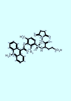 Cc1ccc(S(=O)(=O)NC(CCS(=O)(=O)O)C(=O)ON2C(=O)CCC2=O)c(C)c1OC(=O)c1c2ccccc2[n+](C)c2ccccc12